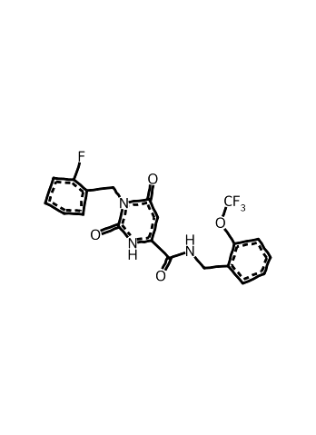 O=C(NCc1ccccc1OC(F)(F)F)c1cc(=O)n(Cc2ccccc2F)c(=O)[nH]1